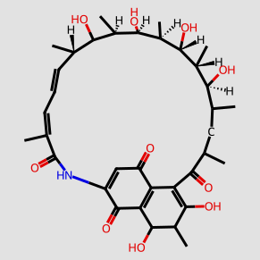 C/C1=C/C=C/[C@H](C)C(O)[C@@H](C)[C@@H](O)[C@@H](C)[C@H](O)[C@H](C)[C@@H](O)C(C)CC(C)C(=O)C2=C(O)C(C)C(O)C3=C2C(=O)C=C(NC1=O)C3=O